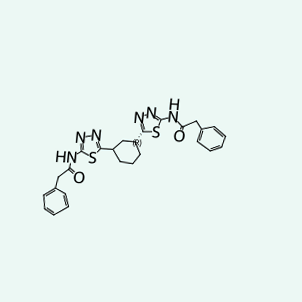 O=C(Cc1ccccc1)Nc1nnc(C2CCC[C@@H](c3nnc(NC(=O)Cc4ccccc4)s3)C2)s1